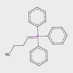 N#CCCC=P(c1ccccc1)(c1ccccc1)c1ccccc1